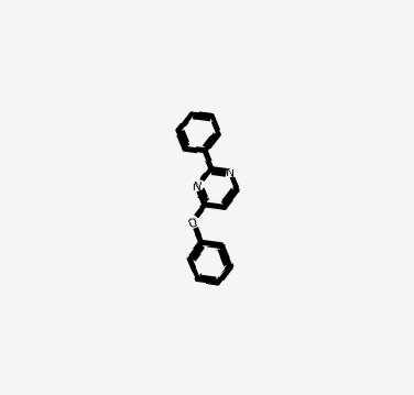 c1ccc(Oc2ccnc(-c3ccccc3)n2)cc1